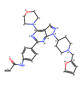 CNC(=O)Nc1ccc(-c2nc(N3CCOCC3)c3cnn(C4CCN(Cc5ccco5)CC4)c3n2)cc1